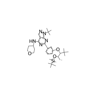 [CH2]C(O[Si](C)(C)C(C)(C)C)C(Oc1cccc(-c2nc(NC3CCOCC3)c3cnn(C(C)(C)C)c3n2)c1)C(C)(C)C